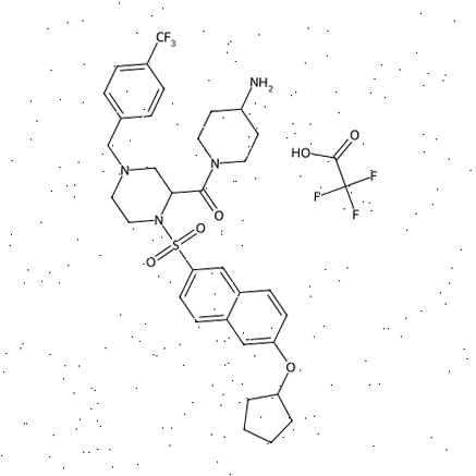 NC1CCN(C(=O)C2CN(Cc3ccc(C(F)(F)F)cc3)CCN2S(=O)(=O)c2ccc3cc(OC4CCCC4)ccc3c2)CC1.O=C(O)C(F)(F)F